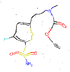 CN(Cc1cc(F)c(S(N)(=O)=O)s1)C(=O)OC(C)(C)C